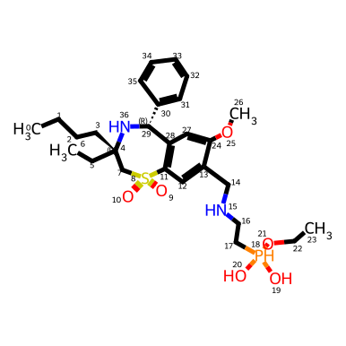 CCCC[C@]1(CC)CS(=O)(=O)c2cc(CNCC[PH](O)(O)OCC)c(OC)cc2[C@@H](c2ccccc2)N1